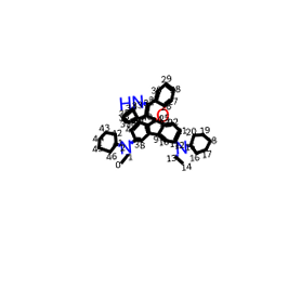 CCN(c1ccc2c(c1)-c1cc(N(CC)C3CCCCC3)ccc1C21Oc2ccccc2-c2[nH]c3ccccc3c21)C1CCCCC1